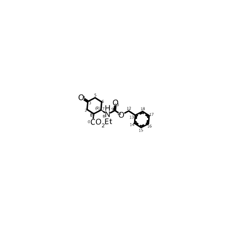 CCOC(=O)[C@H]1CC(=O)CC[C@H]1NC(=O)OCc1ccccc1